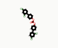 O=C(Oc1ccc(-c2ccc(Cl)cc2Cl)cc1)Oc1ccc(-c2ccc(Cl)cc2Cl)cc1